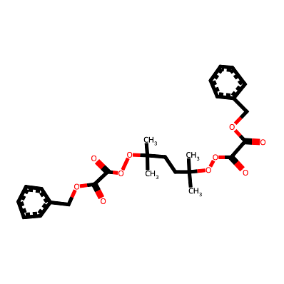 CC(C)(CCC(C)(C)OOC(=O)C(=O)OCc1ccccc1)OOC(=O)C(=O)OCc1ccccc1